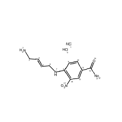 Cl.Cl.NC/C=C/CNc1ccc(C(N)=O)cc1[N+](=O)[O-]